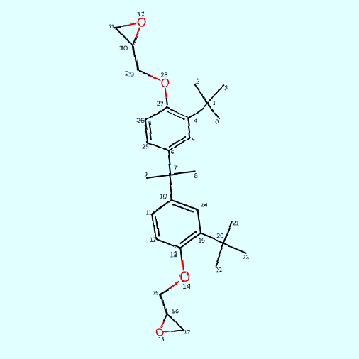 CC(C)(C)c1cc(C(C)(C)c2ccc(OCC3CO3)c(C(C)(C)C)c2)ccc1OCC1CO1